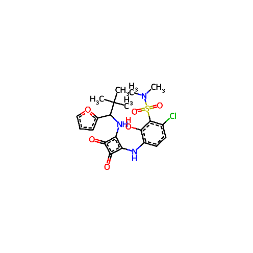 CN(C)S(=O)(=O)c1c(Cl)ccc(Nc2c(NC(c3ccco3)C(C)(C)C)c(=O)c2=O)c1O